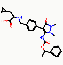 CC(OC(=O)Nc1c(-c2ccc(CNC(CC3CC3)C(=O)O)cc2)c(=O)n(C)n1C)c1ccccc1